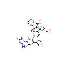 Cc1cc2ncc3cc(-c4ccsc4)c(-c4ccc([C@]5(N6C(=O)c7ccccc7C6=O)C[C@](C)(O)C5)cc4)nc3n2n1